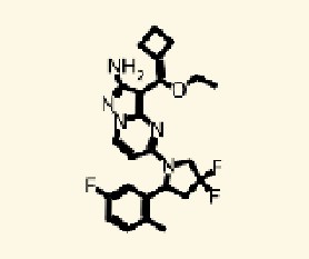 CCOC(=C1CCC1)c1c(N)nn2ccc(N3CC(F)(F)CC3c3cc(F)ccc3C)nc12